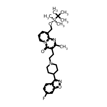 Cc1nc2c(CO[Si](C)(C)C(C)(C)C)cccn2c(=O)c1CCN1CCC(c2noc3cc(F)ccc23)CC1